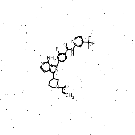 C=CC(=O)N1CCCC(c2nc(-c3ccc(C(=O)Nc4cc(C(F)(F)F)ccn4)c(F)c3)n3c(N)nccc23)C1